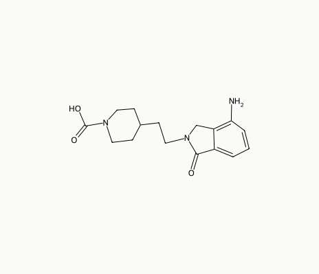 Nc1cccc2c1CN(CCC1CCN(C(=O)O)CC1)C2=O